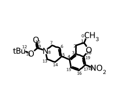 CC1Cc2c(C3=CCN(C(=O)OC(C)(C)C)CC3)ccc([N+](=O)[O-])c2O1